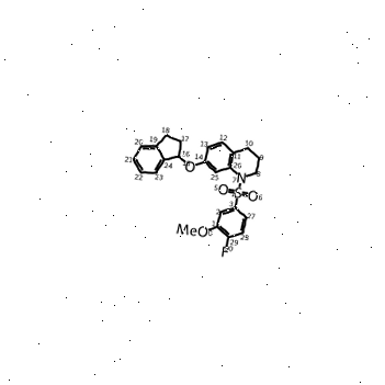 COc1cc(S(=O)(=O)N2CCCc3ccc(OC4CCc5ccccc54)cc32)ccc1F